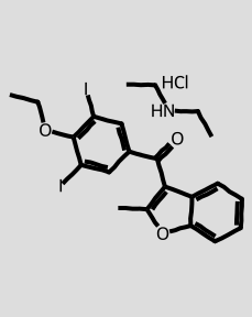 CCNCC.CCOc1c(I)cc(C(=O)c2c(C)oc3ccccc23)cc1I.Cl